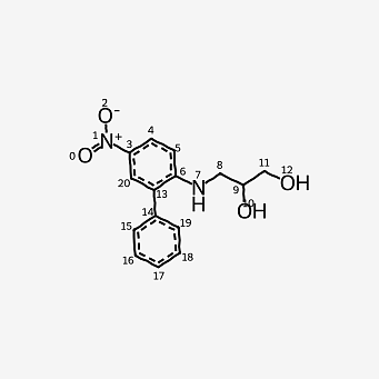 O=[N+]([O-])c1ccc(NCC(O)CO)c(-c2ccccc2)c1